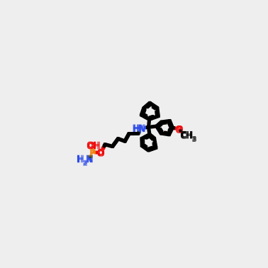 COc1ccc(C(NCCCCCCOP(N)O)(c2ccccc2)c2ccccc2)cc1